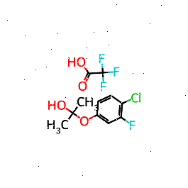 CC(C)(O)Oc1ccc(Cl)c(F)c1.O=C(O)C(F)(F)F